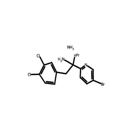 CCCC(N)(Cc1ccc(Cl)c(Cl)c1)c1ccc(Br)cn1.N